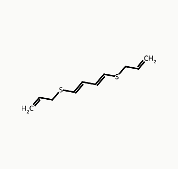 C=CCSC=CC=CSCC=C